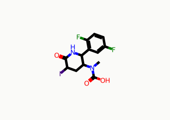 CN(C(=O)O)C1CC(I)C(=O)NC1c1cc(F)ccc1F